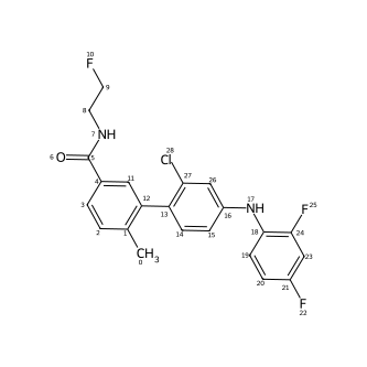 Cc1ccc(C(=O)NCCF)cc1-c1ccc(Nc2ccc(F)cc2F)cc1Cl